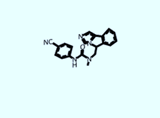 CN(CC1c2ccccc2-c2cncn21)C(=O)Nc1ccc(C#N)cc1